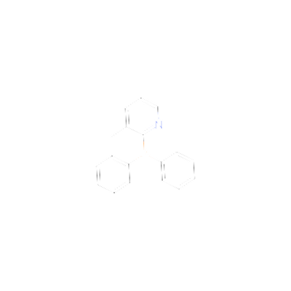 Cc1cccnc1P(c1ccccc1)c1ccccc1